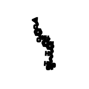 Cc1c(NC(=O)c2ccc(OCC3CC3)cc2)ccc2cc(CNCCCNS(C)(=O)=O)cnc12